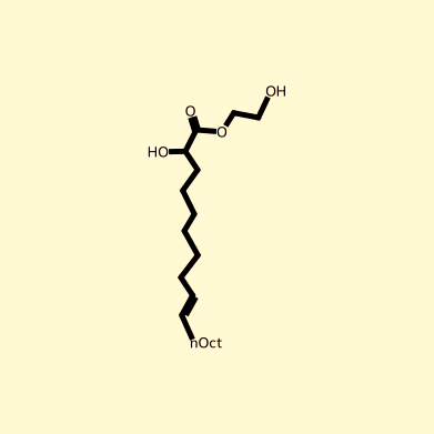 CCCCCCCCC=CCCCCCCC(O)C(=O)OCCO